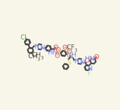 CC1(C)CCC(c2ccc(Cl)cc2)=C(CN2CCN(c3ccc(C(=O)NS(=O)(=O)c4ccc(N[C@H](CCN5CCN(Cc6ccc(F)nc6C6CCC(=O)NC6=O)CC5)CSc5ccccc5)c(S(=O)(=O)C(F)(F)F)c4)cc3)CC2)C1